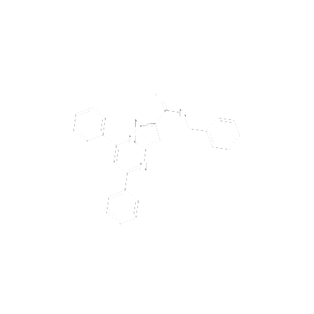 CN(Cc1ccccc1)C(=O)c1cc2nc(-c3ccccc3)cc(-c3ccccc3)n2n1